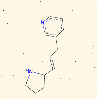 C(=CC1CCCN1)Cc1cccnc1